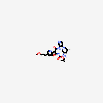 COCCCc1cnc2c(C(=O)Nc3cnccc3N3C[C@H](C)C[C@H](N)C3)c(NC(=O)OC(C)(C)C)oc2c1